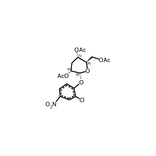 CC(=O)OC[C@H]1O[C@H](Oc2ccc([N+](=O)[O-])cc2Cl)[C@H](OC(C)=O)C[C@@H]1OC(C)=O